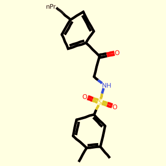 CCCc1ccc(C(=O)CNS(=O)(=O)c2ccc(C)c(C)c2)cc1